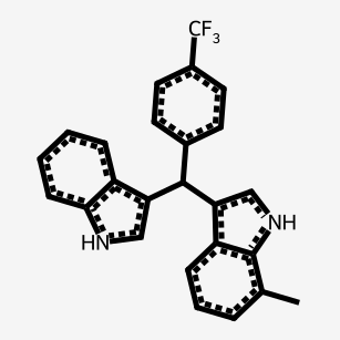 Cc1cccc2c(C(c3ccc(C(F)(F)F)cc3)c3c[nH]c4ccccc34)c[nH]c12